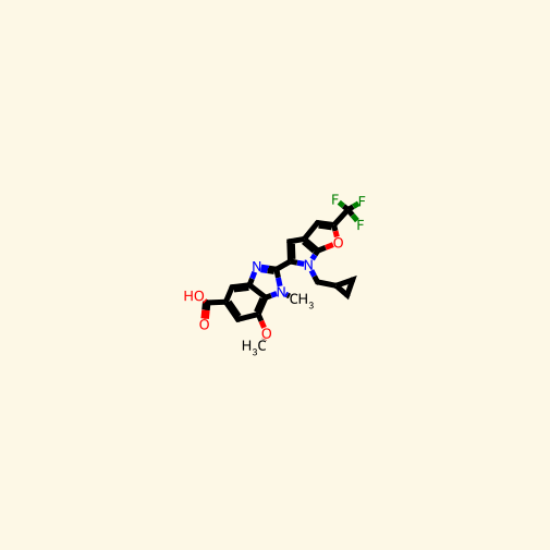 COc1cc(C(=O)O)cc2nc(-c3cc4cc(C(F)(F)F)oc4n3CC3CC3)n(C)c12